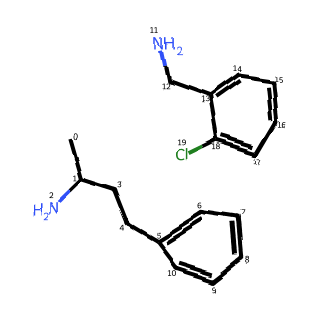 CC(N)CCc1ccccc1.NCc1ccccc1Cl